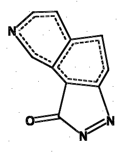 O=C1N=Nc2ccc3ccncc3c21